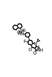 O=c1[nH]sc2c1c(=O)c1cc(F)c(-c3cccc(NS(=O)(=O)c4cccc5ccccc45)c3)cc1n2C1CC1